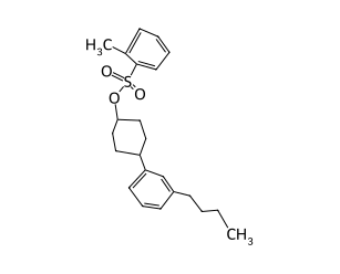 CCCCc1cccc(C2CCC(OS(=O)(=O)c3ccccc3C)CC2)c1